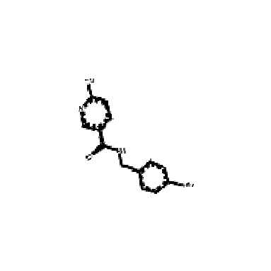 CC(C)(C)c1ccc(CNC(=O)c2ccc(C#N)nc2)cc1